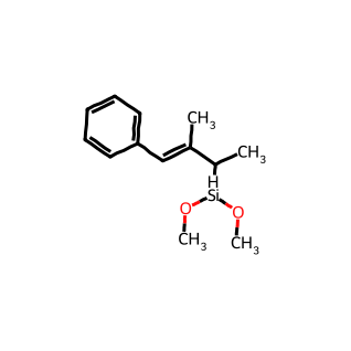 CO[SiH](OC)C(C)C(C)=Cc1ccccc1